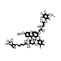 COc1ccc(C(NC(=O)C(CC(=O)Oc2c(F)c(F)c(F)c(F)c2F)NC(=O)CCCC[C@@H]2SCC3NC(=O)NC32)c2ccc(OCC(=O)NCC(=O)Oc3c(F)c(C)c(F)c(F)c3F)cc2)c(OC)c1